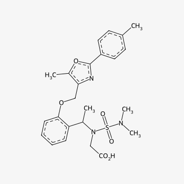 Cc1ccc(-c2nc(COc3ccccc3C(C)N(CC(=O)O)S(=O)(=O)N(C)C)c(C)o2)cc1